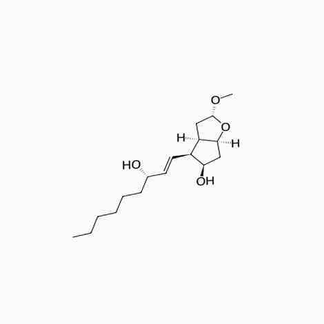 CCCCCC[C@H](O)/C=C/[C@H]1[C@H]2C[C@H](OC)O[C@H]2C[C@H]1O